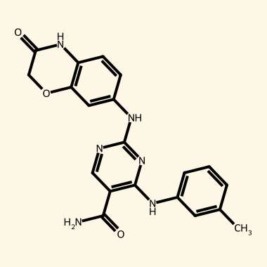 Cc1cccc(Nc2nc(Nc3ccc4c(c3)OCC(=O)N4)ncc2C(N)=O)c1